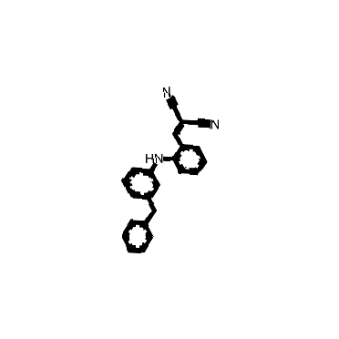 N#CC(C#N)=Cc1ccccc1Nc1cccc(Cc2ccccc2)c1